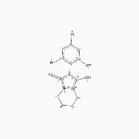 CCc1cc(Cl)cc(O)c1-c1c(O)n2n(c1=O)CCCC2